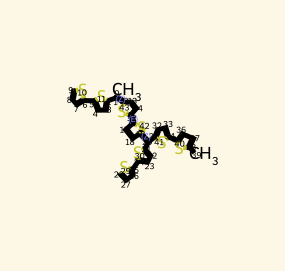 C/C(c1ccc(-c2cccs2)s1)=c1\cc/c(=c2/cc/c(=C(\c3ccc(-c4cccs4)s3)c3ccc(-c4ccc(C)s4)s3)s2)s1